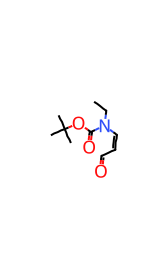 CCN(/C=C\C=O)C(=O)OC(C)(C)C